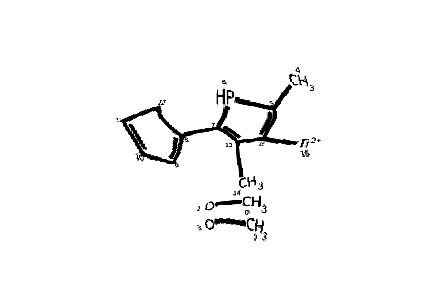 C[O-].C[O-].Cc1[pH]c(C2=CC=CC2)c(C)[c]1[Ti+2]